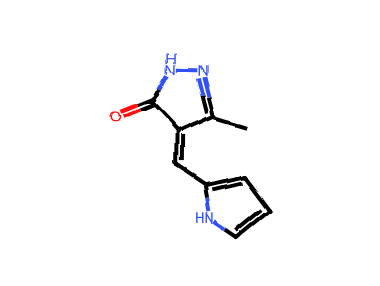 CC1=NNC(=O)/C1=C/c1ccc[nH]1